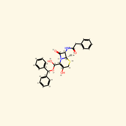 O=C(Cc1ccccc1)N[C@@H]1C(=O)N2C(C(O)OC(c3ccccc3)c3ccccc3)=C(O)CS[C@H]12